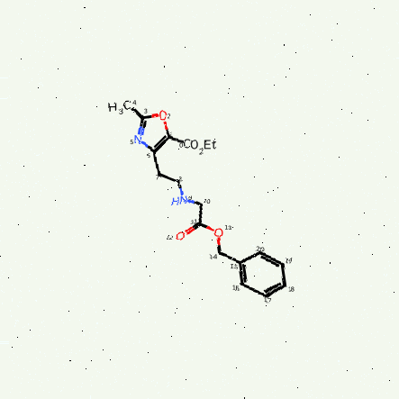 CCOC(=O)c1oc(C)nc1CCNCC(=O)OCc1ccccc1